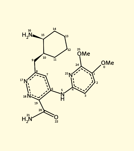 COc1ccc(Nc2cc(C[C@@H]3CCCC[C@@H]3N)nnc2C(N)=O)nc1OC